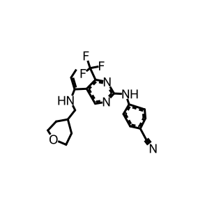 C/C=C(/NCC1CCOCC1)c1cnc(Nc2ccc(C#N)cc2)nc1C(F)(F)F